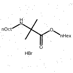 Br.CCCCCCCCNC(C)(C)C(=O)OCCCCCC